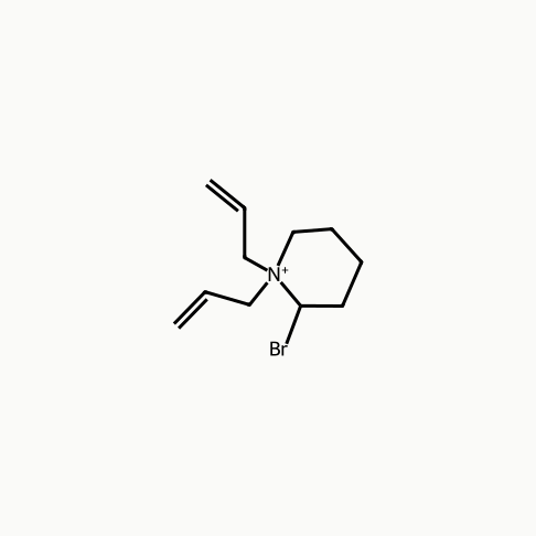 C=CC[N+]1(CC=C)CCCCC1Br